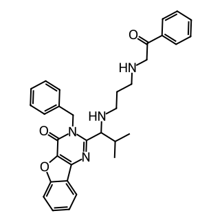 CC(C)C(NCCCNCC(=O)c1ccccc1)c1nc2c(oc3ccccc32)c(=O)n1Cc1ccccc1